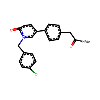 CNC(=O)Cc1ccc(-c2ccc(=O)n(Cc3ccc(Cl)cc3)c2)cc1